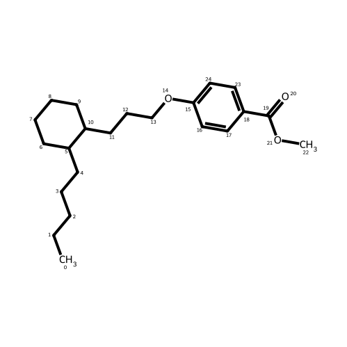 CCCCCC1CCCCC1CCCOc1ccc(C(=O)OC)cc1